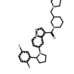 O=C(c1cnn2ccc(N3CCCC3c3cc(F)ccc3F)cc12)N1CCCC(CN2CCCC2)C1